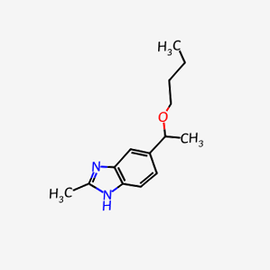 CCCCOC(C)c1ccc2[nH]c(C)nc2c1